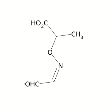 CC(O/N=C\[C]=O)C(=O)O